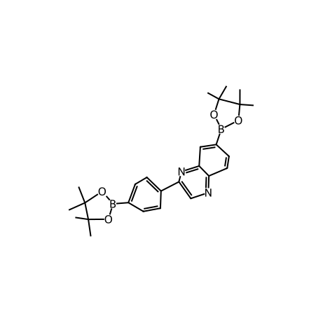 CC1(C)OB(c2ccc(-c3cnc4ccc(B5OC(C)(C)C(C)(C)O5)cc4n3)cc2)OC1(C)C